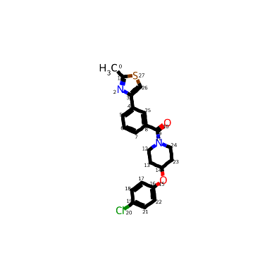 Cc1nc(-c2cccc(C(=O)N3CCC(Oc4ccc(Cl)cc4)CC3)c2)cs1